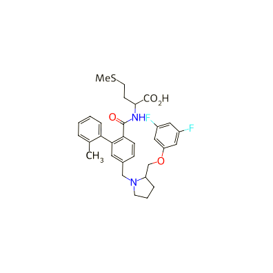 CSCCC(NC(=O)c1ccc(CN2CCCC2COc2cc(F)cc(F)c2)cc1-c1ccccc1C)C(=O)O